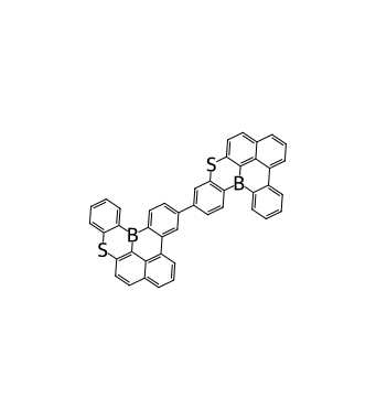 c1ccc2c(c1)Sc1ccc3cccc4c3c1B2c1ccc(-c2ccc3c(c2)Sc2ccc5cccc6c5c2B3c2ccccc2-6)cc1-4